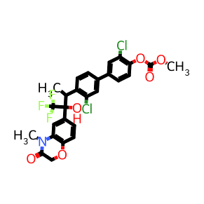 COC(=O)Oc1ccc(-c2ccc(C(C)C(O)(c3ccc4c(c3)N(C)C(=O)CO4)C(F)(F)F)c(Cl)c2)cc1Cl